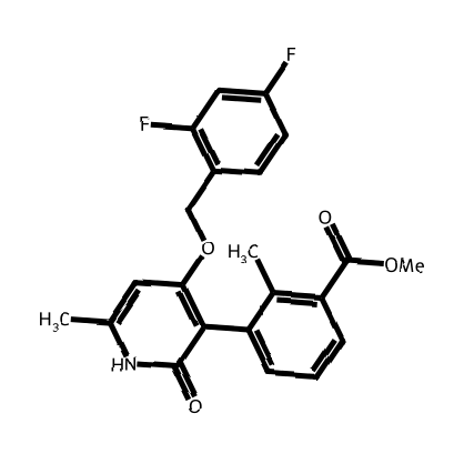 COC(=O)c1cccc(-c2c(OCc3ccc(F)cc3F)cc(C)[nH]c2=O)c1C